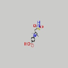 Cc1cc(/C=C2\SC(=O)NC2=O)c(C)n1-c1ccc(C(=O)O)cc1